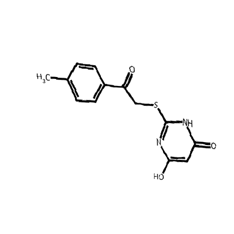 Cc1ccc(C(=O)CSc2nc(O)cc(=O)[nH]2)cc1